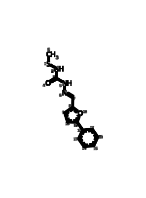 CSNC(=O)N/N=C/c1ccc(-c2ccccc2)o1